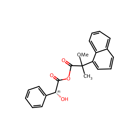 COC(C)(C(=O)OC(=O)[C@H](O)c1ccccc1)c1cccc2ccccc12